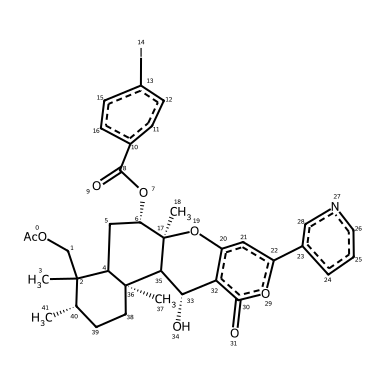 CC(=O)OCC1(C)C2C[C@H](OC(=O)c3ccc(I)cc3)[C@@]3(C)Oc4cc(-c5cccnc5)oc(=O)c4[C@H](O)C3[C@@]2(C)CC[C@@H]1C